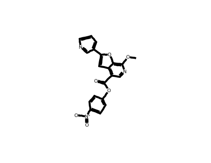 COc1ncc(C(=O)Oc2ccc([N+](=O)[O-])cc2)c2cc(-c3cccnc3)oc12